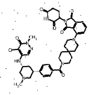 CN1C[C@H](Nc2cnn(C)c(=O)c2Cl)C[C@H](c2ccc(C(=O)N3CCC4(CC3)CCN(c3cccc5c3C(=O)N(C3CCC(=O)NC3=O)C5=O)CC4)cc2)C1